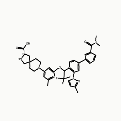 Cc1ccn(-c2cc(-c3cccc(C(=O)N(C)C)c3)ccc2C(Oc2cc(N3CCC4(CC3)CN[C@H](C(=O)O)C4)nc(C)n2)C(F)(F)F)n1